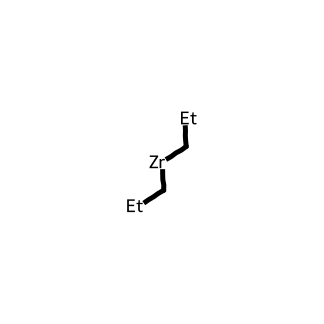 CC[CH2][Zr][CH2]CC